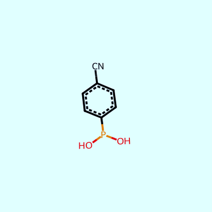 N#Cc1ccc(P(O)O)cc1